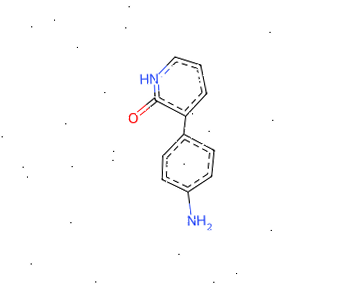 Nc1ccc(-c2ccc[nH]c2=O)cc1